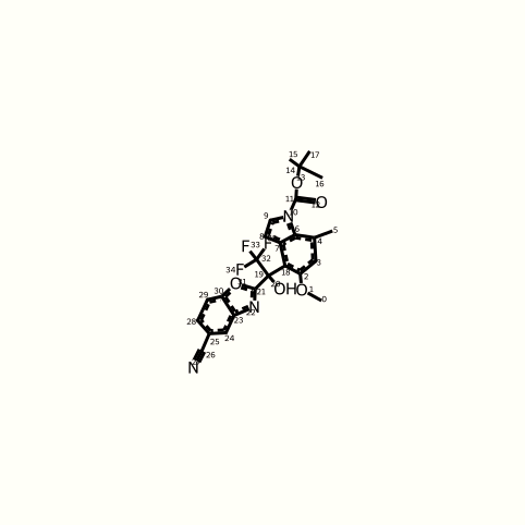 COc1cc(C)c2c(ccn2C(=O)OC(C)(C)C)c1C(O)(c1nc2cc(C#N)ccc2o1)C(F)(F)F